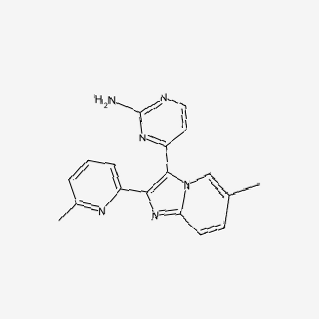 Cc1ccc2nc(-c3cccc(C)n3)c(-c3ccnc(N)n3)n2c1